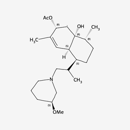 CO[C@H]1CCCN(CC(C)[C@@H]2CC[C@@H](C)[C@]3(O)[CH][C@@H](OC(C)=O)C(C)=C[C@H]23)C1